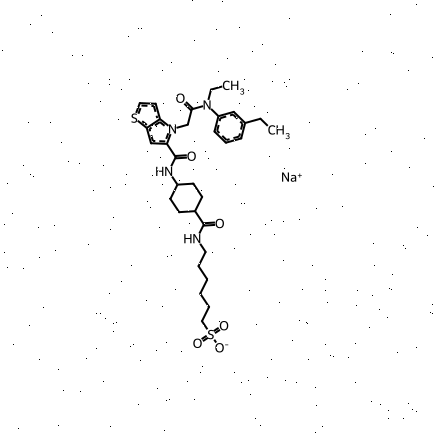 CCc1cccc(N(CC)C(=O)Cn2c(C(=O)NC3CCC(C(=O)NCCCCCCS(=O)(=O)[O-])CC3)cc3sccc32)c1.[Na+]